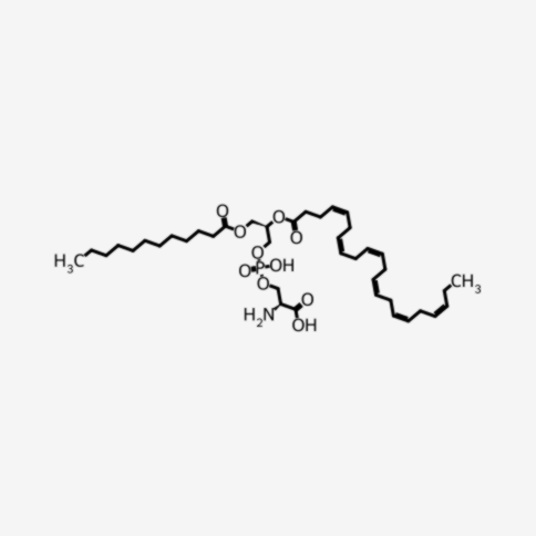 CC/C=C\C/C=C\C/C=C\C/C=C\C/C=C\C/C=C\CCC(=O)O[C@H](COC(=O)CCCCCCCCCCC)COP(=O)(O)OC[C@H](N)C(=O)O